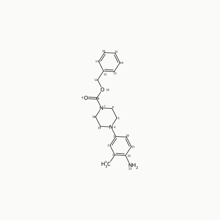 Cc1cc(N2CCN(C(=O)OCc3ccccc3)CC2)ccc1N